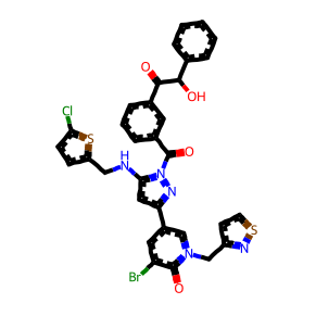 O=C(c1cccc(C(=O)n2nc(-c3cc(Br)c(=O)n(Cc4ccsn4)c3)cc2NCc2ccc(Cl)s2)c1)C(O)c1ccccc1